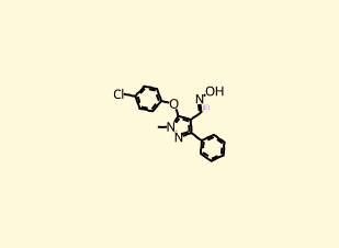 Cn1nc(-c2ccccc2)c(/C=N/O)c1Oc1ccc(Cl)cc1